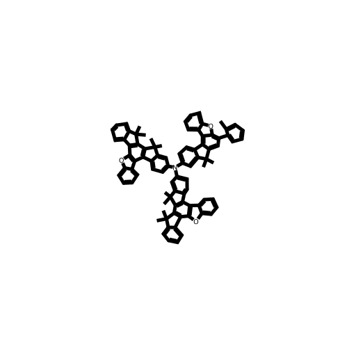 Cc1ccccc1-c1cc2c(c3c1oc1ccccc13)-c1ccc(N(c3ccc4c(c3)C(C)(C)c3c5c(c6oc7ccccc7c6c3-4)-c3ccccc3C5(C)C)c3ccc4c(c3)C(C)(C)c3c5c(c6oc7ccccc7c6c3-4)-c3ccccc3C5(C)C)cc1C2(C)C